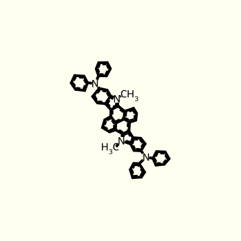 Cn1c2cc(N(c3ccccc3)c3ccccc3)ccc2c2c3cccc4c3c3c(cccc3c21)c1c2ccc(N(c3ccccc3)c3ccccc3)cc2n(C)c41